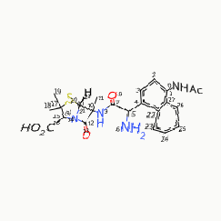 CC(=O)Nc1ccc(C(N)C(=O)NC2(C)C(=O)N3[C@@H](C(=O)O)C(C)(C)S[C@@H]32)c2ccccc12